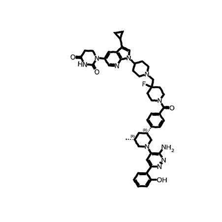 C[C@@H]1C[C@H](c2ccc(C(=O)N3CCC(F)(CN4CCC(n5cc(C6CC6)c6cc(N7CCC(=O)NC7=O)cnc65)CC4)CC3)cc2)CN(c2cc(-c3ccccc3O)nnc2N)C1